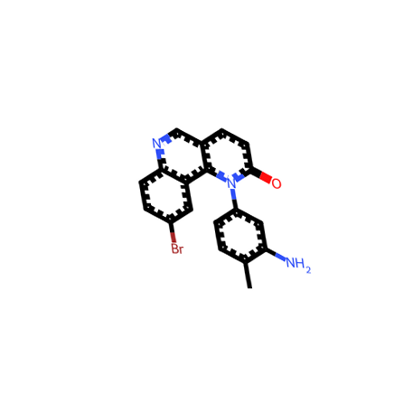 Cc1ccc(-n2c(=O)ccc3cnc4ccc(Br)cc4c32)cc1N